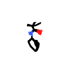 CC(C)(C)C(=O)NC1C=CCCC1